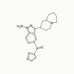 Nn1nc(C2CCN3CCCCC3C2)c2cc(C(=O)c3ccoc3)ccc21